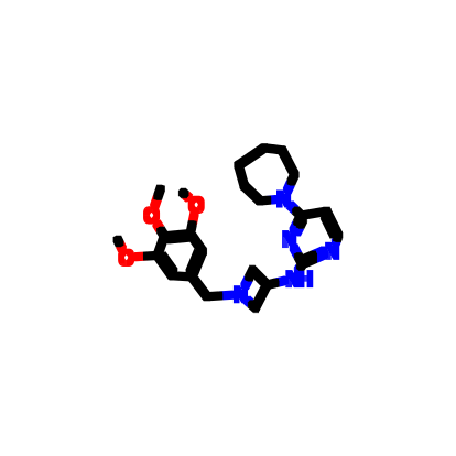 COc1cc(CN2CC(Nc3nccc(N4CCCCCC4)n3)C2)cc(OC)c1OC